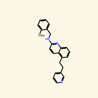 COc1ccccc1CNc1ccc2c(CCc3cccnc3)cccc2n1